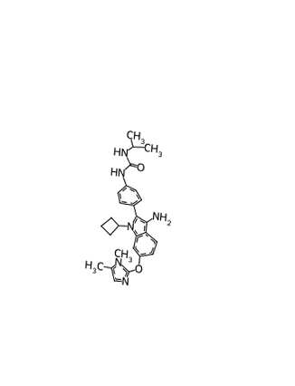 Cc1cnc(Oc2ccc3c(N)c(-c4ccc(NC(=O)NC(C)C)cc4)n(C4CCC4)c3c2)n1C